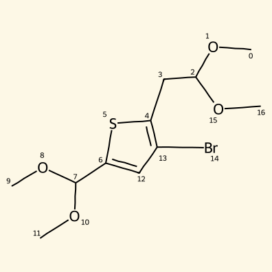 COC(Cc1sc(C(OC)OC)cc1Br)OC